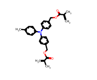 C=C(C)C(=O)OCc1ccc(N(c2ccc(C)cc2)c2ccc(COC(=O)C(=C)C)cc2)cc1